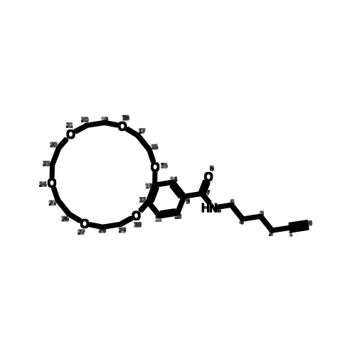 C#CCCCCNC(=O)c1ccc2c(c1)OCCOCCOCCOCCOCCO2